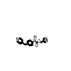 O=C(Nc1ccc(Cc2ccncc2)cc1)OCc1cnsc1